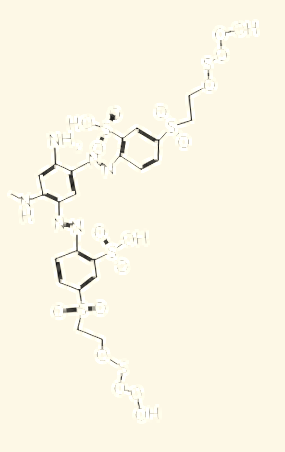 CNc1cc(N)c(/N=N/c2ccc(S(=O)(=O)CCOSOOO)cc2S(=O)(=O)O)cc1/N=N/c1ccc(S(=O)(=O)CCOSOOO)cc1S(=O)(=O)O